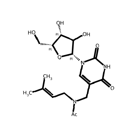 CC(=O)N(CC=C(C)C)Cc1cn([C@@H]2O[C@H](CO)[C@H](O)C2O)c(=O)[nH]c1=O